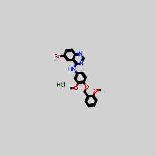 COc1ccccc1COc1ccc(Nc2ncnc3ccc(Br)cc23)cc1OC.Cl